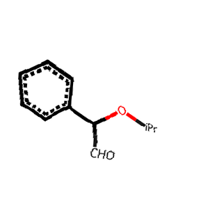 CC(C)OC(C=O)c1ccccc1